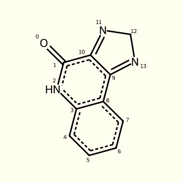 O=c1[nH]c2ccccc2c2c1=NCN=2